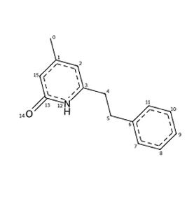 Cc1cc(CCc2ccccc2)[nH]c(=O)c1